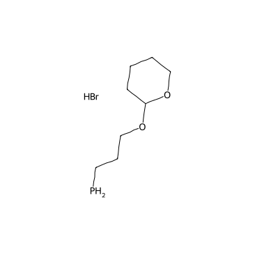 Br.PCCCOC1CCCCO1